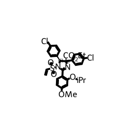 C=CS(=O)(=O)N1C(c2ccc(OC)cc2OC(C)C)=N[C@](C(=O)OCC)(c2ccc(Cl)cc2)[C@@H]1c1ccc(Cl)cc1